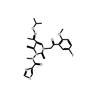 C=C1C(/C(C)=N/OC(C)C)=CN(CC(=O)c2cc(F)ccc2OC)C(=C)N1N(C)C(=O)c1cscn1